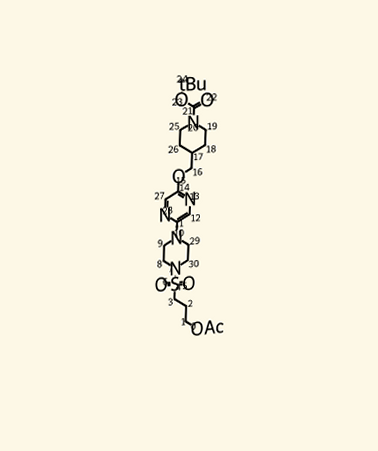 CC(=O)OCCCS(=O)(=O)N1CCN(c2cnc(OCC3CCN(C(=O)OC(C)(C)C)CC3)cn2)CC1